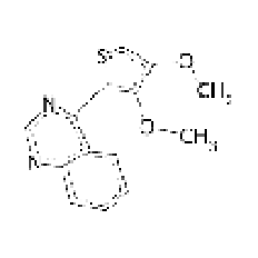 COc1csc(-c2ncnc3ccccc23)c1OC